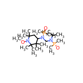 CON1C(C)(C)CC(N(CN(C(C)C)P(C)(C)=O)P(C)(C)=O)C(C)(C)C1(C)C